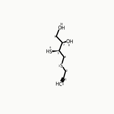 C#CCSC[C@@H](S)[C@H](O)CO